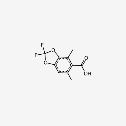 Cc1c2c(cc(I)c1C(=O)O)OC(F)(F)O2